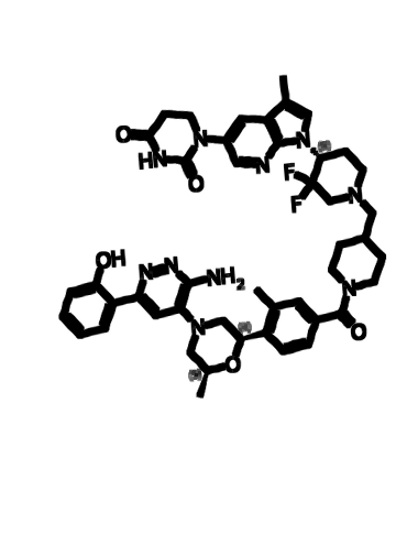 Cc1cc(C(=O)N2CCC(CN3CC[C@@H](n4cc(C)c5cc(N6CCC(=O)NC6=O)cnc54)C(F)(F)C3)CC2)ccc1[C@@H]1CN(c2cc(-c3ccccc3O)nnc2N)C[C@H](C)O1